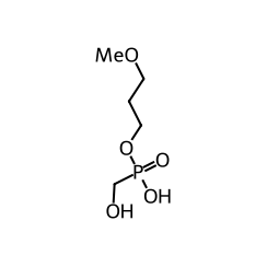 COCCCOP(=O)(O)CO